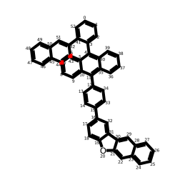 c1ccc(-c2c3ccccc3c(-c3ccc(-c4ccc5oc6cc7ccccc7cc6c5c4)cc3)c3ccccc23)c(-c2ccc3ccccc3c2)c1